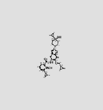 O=C(Nc1cc2cn([C@H]3CC[C@@](O)(C4CC4)CC3)nc2cc1OCC1CC1)c1cccc(C2CC2)[n+]1O